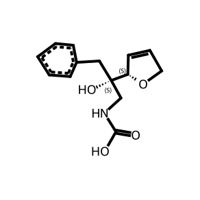 O=C(O)NC[C@@](O)(Cc1ccccc1)[C@@H]1C=CCO1